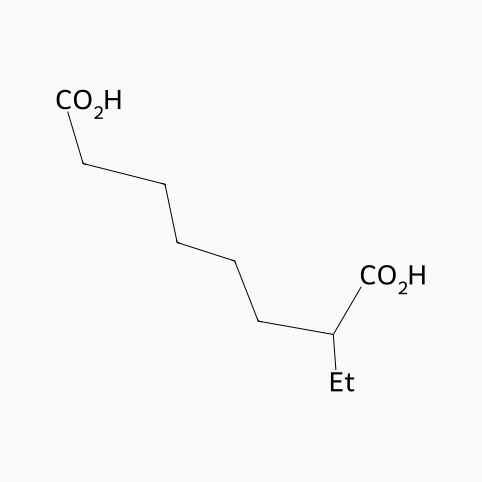 CCC(CCCCCC(=O)O)C(=O)O